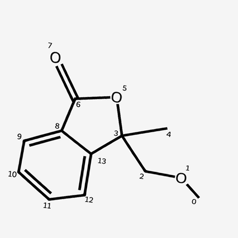 COCC1(C)OC(=O)c2ccccc21